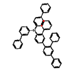 c1ccc(-c2ccc(N(c3cccc(-c4ccccc4)c3)c3ccc(-c4ccc(-c5ccccc5)cc4-c4ccccc4)cc3-c3ccccc3)cc2)cc1